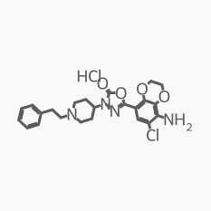 Cl.Nc1c(Cl)cc(-c2nn(C3CCN(CCc4ccccc4)CC3)c(=O)o2)c2c1OCCO2